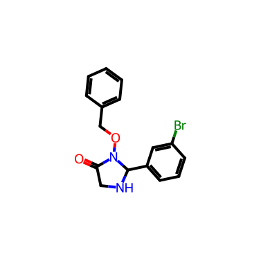 O=C1CNC(c2cccc(Br)c2)N1OCc1ccccc1